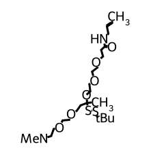 C/C=C/CNC(=O)CCOCCOCCOC(C)(CCOCCOCCNC)SSC(C)(C)C